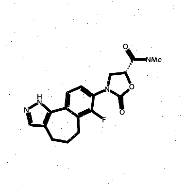 CNC(=O)[C@H]1CN(c2ccc3c(c2F)CCCc2cn[nH]c2-3)C(=O)O1